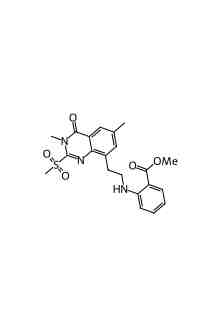 COC(=O)c1ccccc1NCCc1cc(C)cc2c(=O)n(C)c(S(C)(=O)=O)nc12